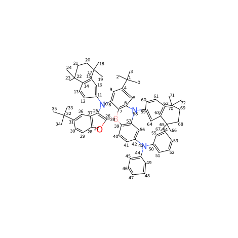 CC(C)(C)c1cc2c3c(c1)N(c1ccc4c(c1)C(C)(C)CCC4(C)C)c1c(oc4ccc(C(C)(C)C)cc14)B3c1ccc(N(c3ccccc3)c3ccccc3)cc1N2c1ccc2c(c1)C(C)(C)CCC2(C)C